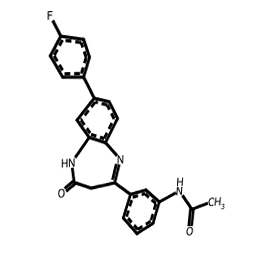 CC(=O)Nc1cccc(C2=Nc3ccc(-c4ccc(F)cc4)cc3NC(=O)C2)c1